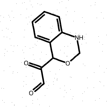 O=CC(=O)C1OCNc2ccccc21